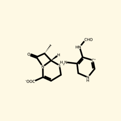 C[C@H]1C(=O)N2C(C(=O)[O-])=CCS[C@@H]12.NC1=C(NC=O)[C+]=CNC1